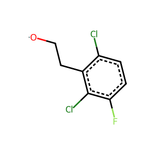 [O]CCc1c(Cl)ccc(F)c1Cl